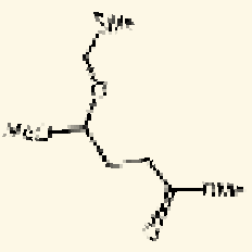 COC(=O)CCC(OC)OCSC